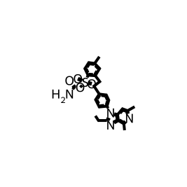 CCc1nc2c(C)nc(C)cc2n1-c1ccc(CCc2cc(C)ccc2S(=O)(=O)OC(N)=O)cc1